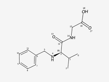 CC(C)[C@@H](NCc1ccccc1)C(=O)NCC(=O)O